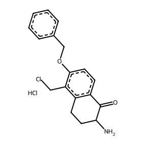 Cl.NC1CCc2c(ccc(OCc3ccccc3)c2CCl)C1=O